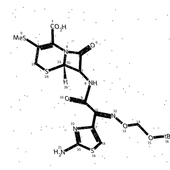 CSC1=C(C(=O)O)N2C(=O)C(NC(=O)C(=NOCOC(C)(C)C)c3csc(N)n3)[C@@H]2SC1